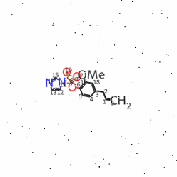 C=CCc1ccc(OS(=O)(=O)n2ccnc2)c(OC)c1